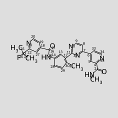 CNC(=O)c1cc(-c2ccnc(-c3cc(NC(=O)c4ccnc(C(C)(C)F)c4)ccc3C)n2)ccn1